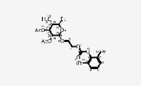 CC[C@H]1O[C@@H](OCCOC(=O)Oc2c(C(C)C)cccc2C(C)C)[C@H](OC(C)=O)[C@@H](OC(C)=O)[C@@H]1C